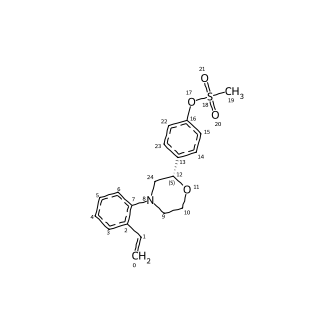 C=Cc1ccccc1N1CCO[C@@H](c2ccc(OS(C)(=O)=O)cc2)C1